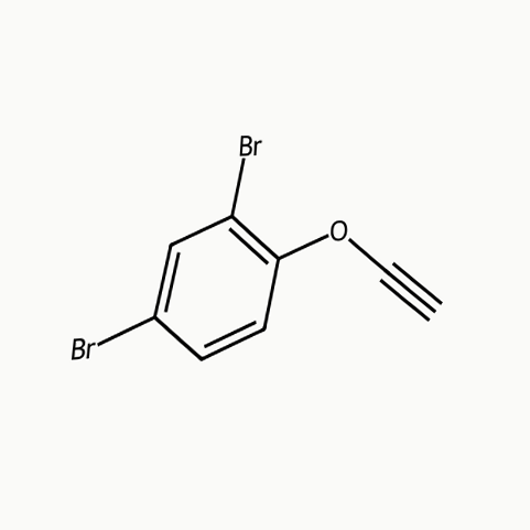 C#COc1ccc(Br)cc1Br